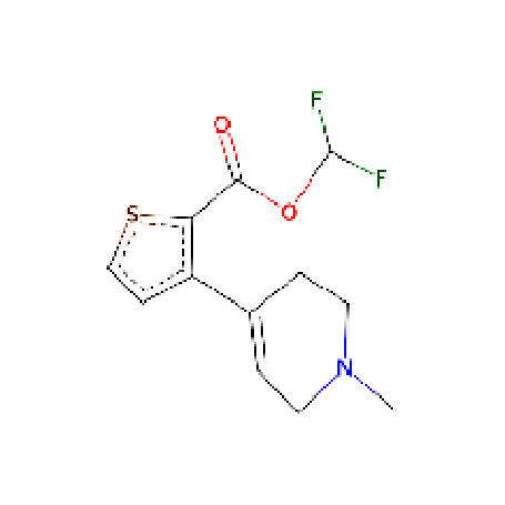 CN1CC=C(c2ccsc2C(=O)OC(F)F)CC1